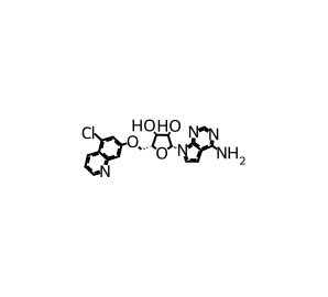 Nc1ncnc2c1ccn2[C@@H]1O[C@H](COc2cc(Cl)c3cccnc3c2)[C@@H](O)[C@H]1O